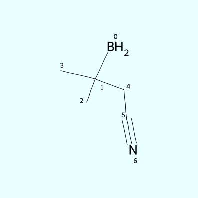 BC(C)(C)CC#N